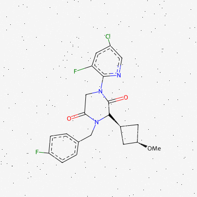 CO[C@H]1C[C@@H](C2C(=O)N(c3ncc(Cl)cc3F)CC(=O)N2Cc2ccc(F)cc2)C1